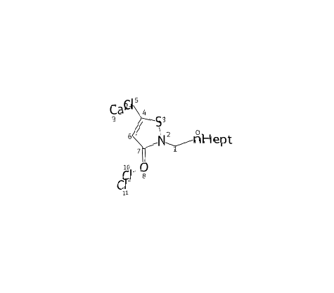 CCCCCCCCn1sc(Cl)cc1=O.[Ca+2].[Cl-].[Cl-]